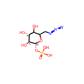 [N-]=[N+]=NCC1O[C@H](OP(=O)(O)O)[C@@H](O)[C@H](O)C1O